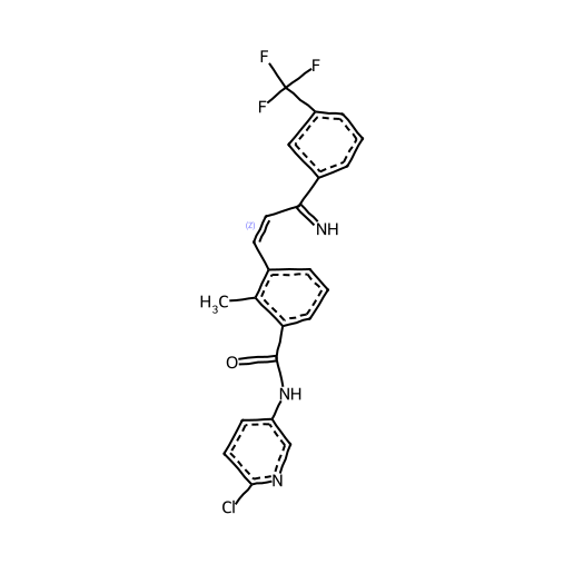 Cc1c(/C=C\C(=N)c2cccc(C(F)(F)F)c2)cccc1C(=O)Nc1ccc(Cl)nc1